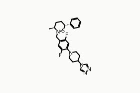 C[C@H]1CC[C@H](c2ccccc2)SN1Cc1cc(F)c(N2CCC(n3cnnc3)CC2)cc1F